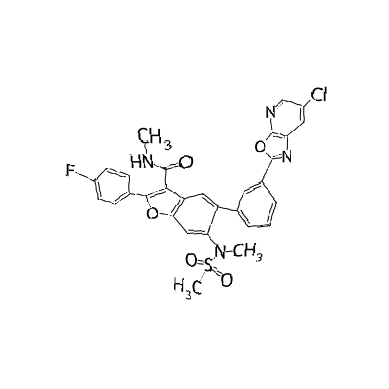 CNC(=O)c1c(-c2ccc(F)cc2)oc2cc(N(C)S(C)(=O)=O)c(-c3cccc(-c4nc5cc(Cl)cnc5o4)c3)cc12